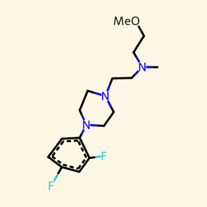 COCCN(C)CCN1CCN(c2ccc(F)cc2F)CC1